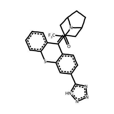 O=C(N1C2CCC1CC(=C1c3ccccc3Sc3cc(-c4nnn[nH]4)ccc31)C2)C(F)(F)F